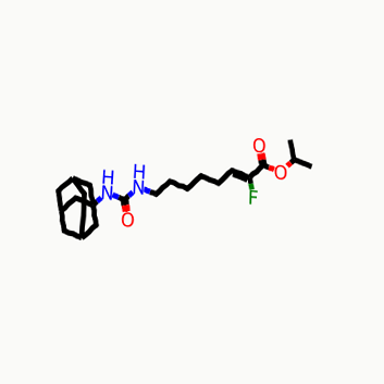 CC(C)OC(=O)C(F)=CCCCCCNC(=O)NC12CC3CC(CC(C3)C1)C2